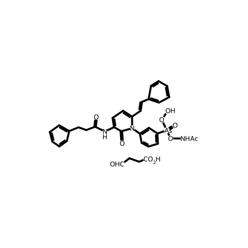 CC(=O)NO[As](=O)(OO)c1cccc(-n2c(C=Cc3ccccc3)ccc(NC(=O)CCc3ccccc3)c2=O)c1.O=CCCC(=O)O